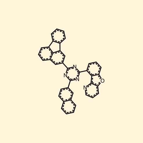 c1ccc2c(c1)-c1cccc3cc(-c4nc(-c5ccc6ccccc6c5)nc(-c5cccc6oc7cccnc7c56)n4)cc-2c13